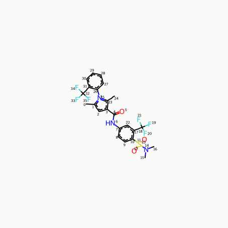 Cc1cc(C(=O)Nc2ccc(S(=O)(=O)N(C)C)c(C(F)(F)F)c2)c(C)n1-c1ccccc1C(F)(F)F